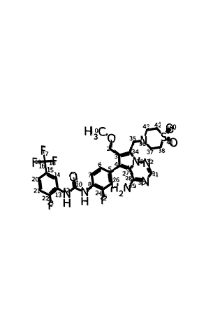 COCc1c(-c2ccc(NC(=O)Nc3cc(C(F)(F)F)ccc3F)c(F)c2)c2c(N)ncnn2c1CN1CCS(=O)(=O)CC1